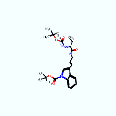 CC[C@H](NC(=O)OC(C)(C)C)C(=O)NCC=Cc1cn(C(=O)OC(C)(C)C)c2ccccc12